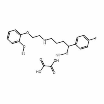 CCCOC(CCCNCCOc1ccccc1OCC)c1ccc(F)cc1.O=C(O)C(=O)O